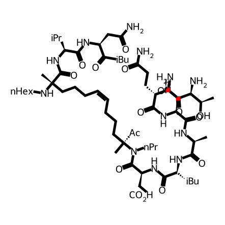 CCCCCCN[C@@](C)(CCC/C=C\CCC[C@@](C)(C(C)=O)N(CCC)C(=O)[C@H](CC(=O)O)NC(=O)[C@@H](NC(=O)[C@H](C)NC(=O)[C@H](CC(N)=O)NC(=O)[C@H](CCC(N)=O)NC(=O)[C@@H](N)[C@@H](C)O)[C@@H](C)CC)C(=O)N[C@H](C(=O)N[C@@H](CC(N)=O)C(=O)C(C)CC)C(C)C